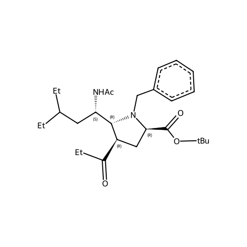 CCC(=O)[C@@H]1C[C@H](C(=O)OC(C)(C)C)N(Cc2ccccc2)[C@H]1[C@H](CC(CC)CC)NC(C)=O